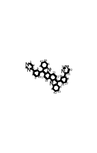 c1cc(-c2ccncn2)cc(-c2c3c(nc4c2ccc2c4ccc4c(-c5cccc(-c6ccncn6)c5)c5c(nc42)CCCC5)CCCC3)c1